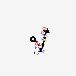 Cc1nsc(C#Cc2nc3nc(C4(C(=O)O)CC4)sc3s2)c1NC(=O)OCc1ccccc1